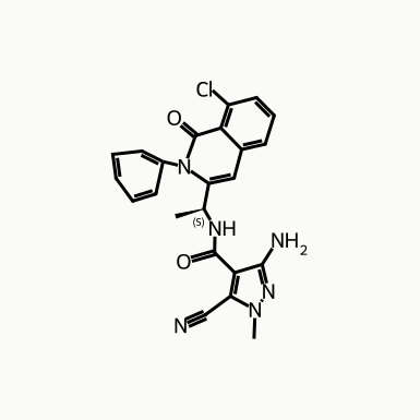 C[C@H](NC(=O)c1c(N)nn(C)c1C#N)c1cc2cccc(Cl)c2c(=O)n1-c1ccccc1